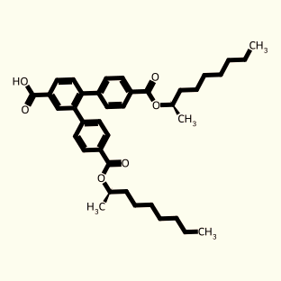 CCCCCCC[C@@H](C)OC(=O)c1ccc(-c2ccc(C(=O)O)cc2-c2ccc(C(=O)O[C@H](C)CCCCCCC)cc2)cc1